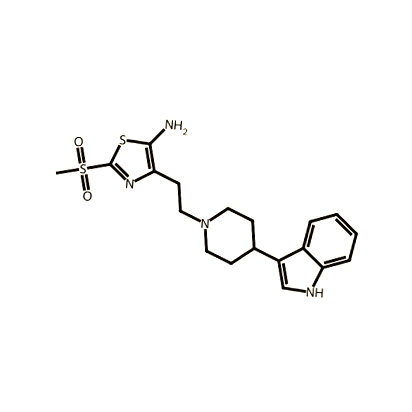 CS(=O)(=O)c1nc(CCN2CCC(c3c[nH]c4ccccc34)CC2)c(N)s1